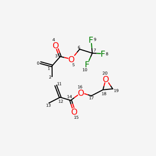 C=C(C)C(=O)OCC(F)(F)F.C=C(C)C(=O)OCC1CO1